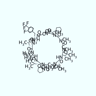 CC[C@H](C)[C@@H]1NC(=O)[C@H](CC(C)C)N(C)C(=O)C[C@@H](C(=O)N2CCCCC2)N(C)C(=O)[C@H](CC(C)C)NC(=O)C(C)(C)N(C)C(=O)[C@H](CC(C)C)NC(=O)[C@H](CCc2ccc(C(F)(F)F)c(F)c2)NC(=O)CN(C)C(=O)[C@H](CC2CCCCC2)N(C)C(=O)CN(C)C(=O)CN(C)C1=O